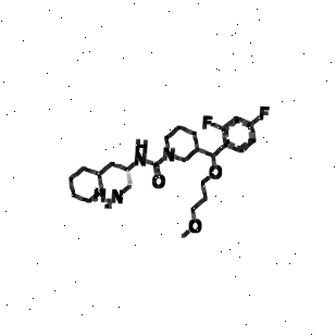 COCCCOC(c1ccc(F)cc1F)C1CCCN(C(=O)N[C@H](CN)CC2CCCCC2)C1